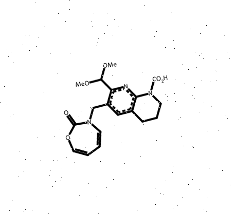 COC(OC)c1nc2c(cc1CN1C=CC=COC1=O)CCCN2C(=O)O